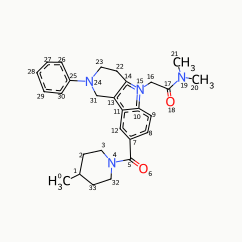 CC1CCN(C(=O)c2ccc3c(c2)c2c(n3CC(=O)N(C)C)CCN(c3ccccc3)C2)CC1